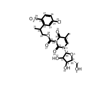 Cc1cn([C@@H]2O[C@H](CO)C(O)C2O)c(=O)n(C(=O)OCC(C)c2cc(Cl)ccc2[N+](=O)[O-])c1=O